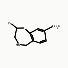 CC(C)C1CNCc2ccc(C(=O)O)cc2O1